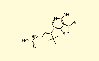 CC(C)(C)/C(=C\CNC(=O)O)c1cnc(N)c2c(Br)csc12